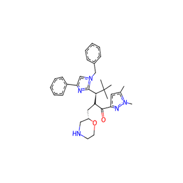 Cc1cc(C(=O)C(C[C@H]2CNCCO2)[C@@H](c2nc(-c3ccccc3)cn2Cc2ccccc2)C(C)(C)C)nn1C